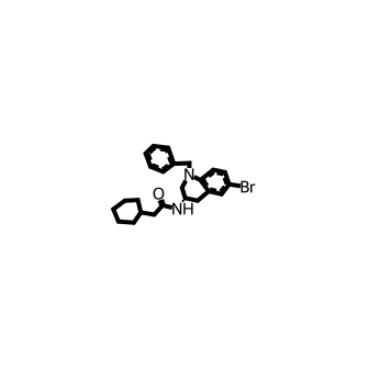 O=C(CC1CCCCC1)N[C@H]1Cc2cc(Br)ccc2N(Cc2ccccc2)C1